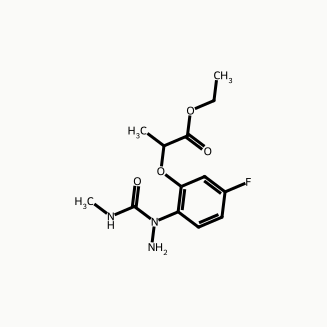 CCOC(=O)C(C)Oc1cc(F)ccc1N(N)C(=O)NC